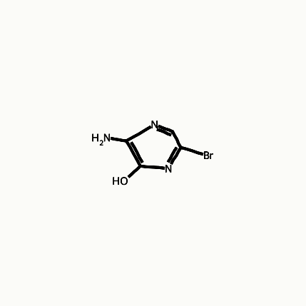 Nc1ncc(Br)nc1O